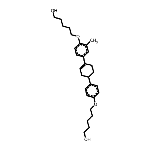 Cc1cc(C2=CCC(c3ccc(OCCCCCO)cc3)CC2)ccc1OCCCCCO